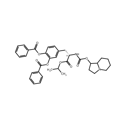 CC(C)OC(=O)[C@H](Cc1ccc(OC(=O)c2ccccc2)c(OC(=O)c2ccccc2)c1)NC(=O)OC1CCN2CCCCC12